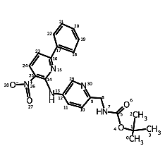 CC(C)(C)OC(=O)NCc1ccc(Nc2nc(-c3ccccc3)ccc2[N+](=O)[O-])cn1